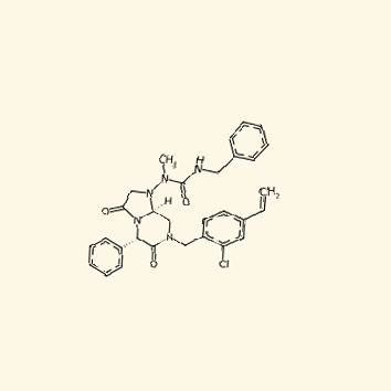 C=Cc1ccc(CN2C[C@H]3N(C(=O)CN3N(C)C(=O)NCc3ccccc3)[C@@H](c3ccccc3)C2=O)c(Cl)c1